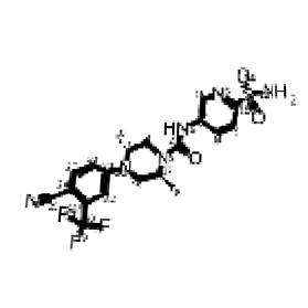 C[C@@H]1CN(C(=O)Nc2ccc(S(N)(=O)=O)nc2)[C@@H](C)CN1c1ccc(C#N)c(C(F)(F)F)c1